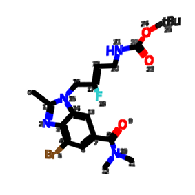 Cc1nc2c(Br)cc(C(=O)N(C)C)cc2n1C/C(F)=C/CNC(=O)OC(C)(C)C